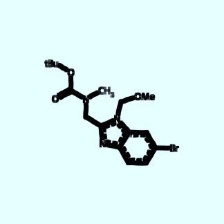 COCn1c(CN(C)C(=O)OC(C)(C)C)nc2ccc(Br)cc21